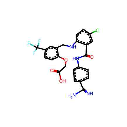 N=C(N)c1ccc(NC(=O)c2cc(Cl)ccc2NCc2cc(C(F)(F)F)ccc2OCC(=O)O)cc1